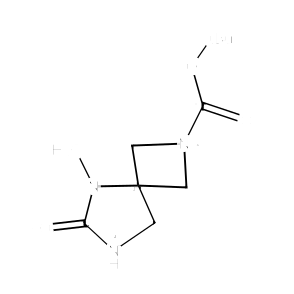 CN1C(=O)NCC12CN(C(=O)OC(C)(C)C)C2